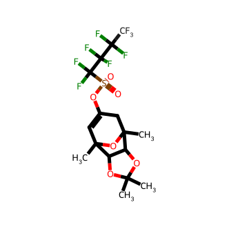 CC1(C)OC2C(O1)C1(C)CC(OS(=O)(=O)C(F)(F)C(F)(F)C(F)(F)C(F)(F)F)=CC2(C)O1